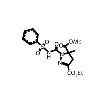 CCOC(=O)C1=NN(C(=O)NS(=O)(=O)c2ccccc2)C(C)(C(=O)OC)C1